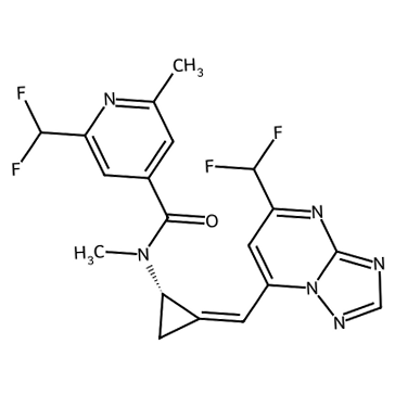 Cc1cc(C(=O)N(C)[C@H]2C/C2=C/c2cc(C(F)F)nc3ncnn23)cc(C(F)F)n1